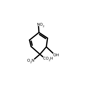 O=C(O)C1([N+](=O)[O-])C=CC([N+](=O)[O-])=CC1O